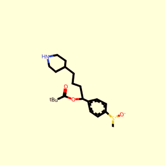 C[S+]([O-])c1ccc(C(CCCC2CCNCC2)OC(=O)C(C)(C)C)cc1